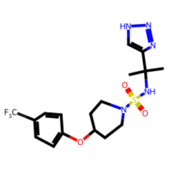 CC(C)(NS(=O)(=O)N1CCC(Oc2ccc(C(F)(F)F)cc2)CC1)c1c[nH]nn1